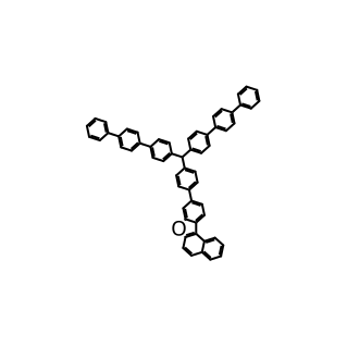 c1ccc(-c2ccc(-c3ccc(C(c4ccc(-c5ccc(-c6ccccc6)cc5)cc4)c4ccc(-c5ccc6c(c5)oc5ccc7ccccc7c56)cc4)cc3)cc2)cc1